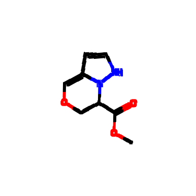 COC(=O)C1COC=C2C=CNN21